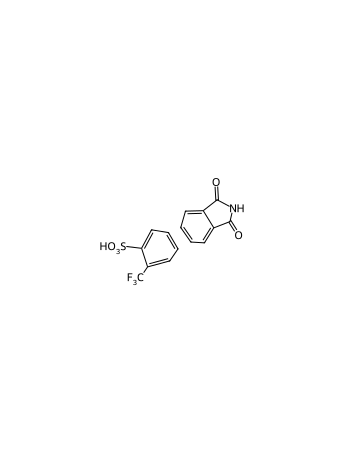 O=C1NC(=O)c2ccccc21.O=S(=O)(O)c1ccccc1C(F)(F)F